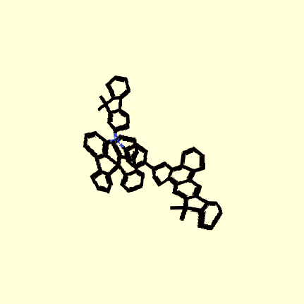 CC1(C)c2ccccc2-c2ccc(N(c3ccc(-c4ccc5c(c4)c4ccccc4c4cc6c(cc54)C(C)(C)c4ccccc4-6)cc3)c3cccc4c3C3(c5ccccc5-c5ccccc53)c3ccccc3-4)cc21